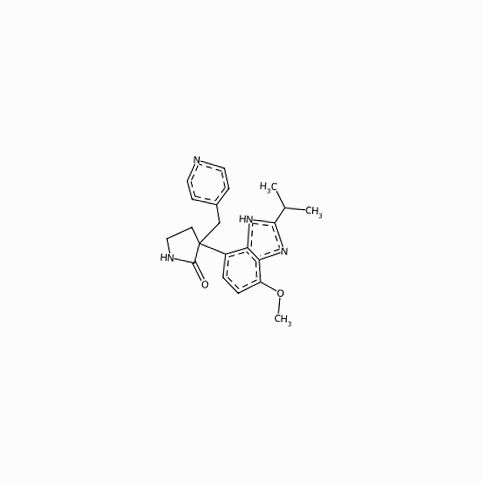 COc1ccc(C2(Cc3ccncc3)CCNC2=O)c2[nH]c(C(C)C)nc12